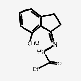 CCC(=O)N/N=C1/CCc2cccc(C=O)c21